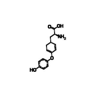 N[C@@H](CC1C=CC(Oc2ccc(O)cc2)=CC1)C(=O)O